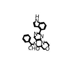 O=CC(c1ccccc1)N1CC2COCCN2c2nc(-c3cccc4[nH]ccc34)ncc21